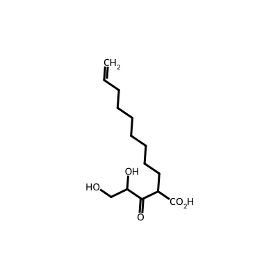 C=CCCCCCCCC(C(=O)O)C(=O)C(O)CO